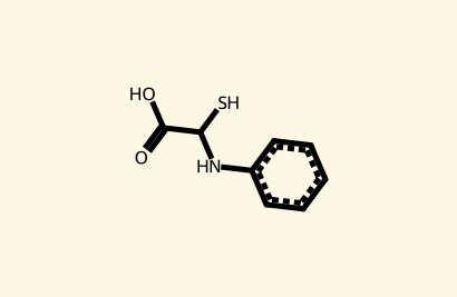 O=C(O)C(S)Nc1ccccc1